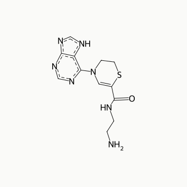 NCCNC(=O)C1=CN(c2ncnc3nc[nH]c23)CCS1